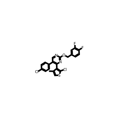 Cc1csc(Cl)c1-c1nc(OCc2ccc(F)c(F)c2)ncc1-c1ccc(Cl)cc1